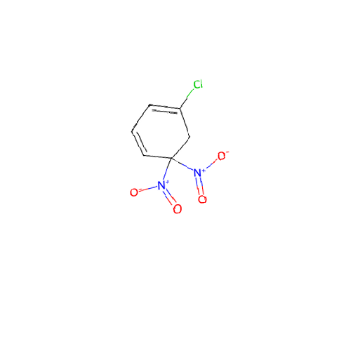 O=[N+]([O-])C1([N+](=O)[O-])C=CC=C(Cl)C1